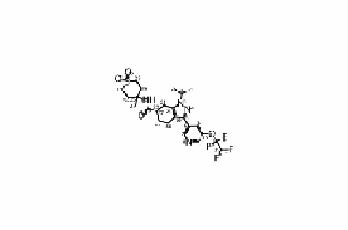 CC(C)n1nc(-c2cncc(OC(F)(F)C(F)F)c2)c2c1C[C@H](C(=O)NC1(C)CCS(=O)(=O)CC1)CC2